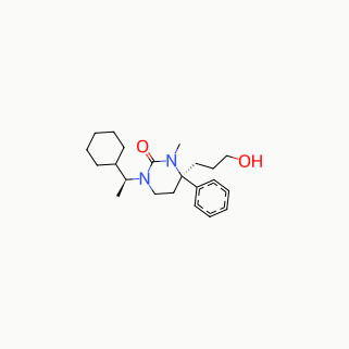 C[C@@H](C1CCCCC1)N1CC[C@](CCCO)(c2ccccc2)N(C)C1=O